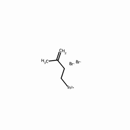 C=C(C)C[CH2][In+2].[Br-].[Br-]